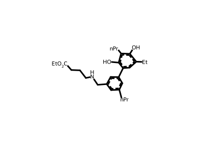 CCCc1cc(CNCCCC(=O)OCC)cc(-c2cc(CC)c(O)c(CCC)c2O)c1